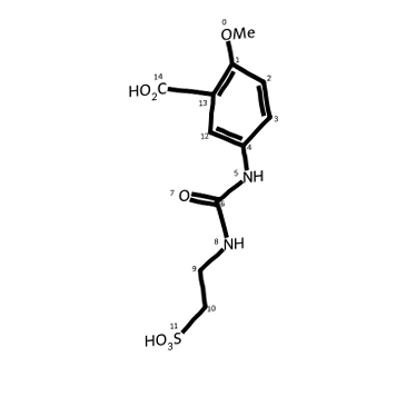 COc1ccc(NC(=O)NCCS(=O)(=O)O)cc1C(=O)O